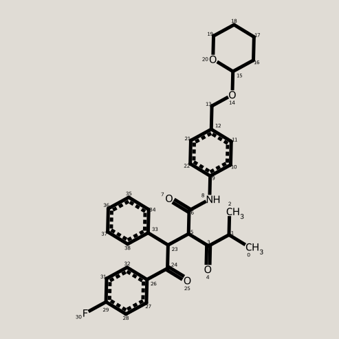 CC(C)C(=O)C(C(=O)Nc1ccc(COC2CCCCO2)cc1)C(C(=O)c1ccc(F)cc1)c1ccccc1